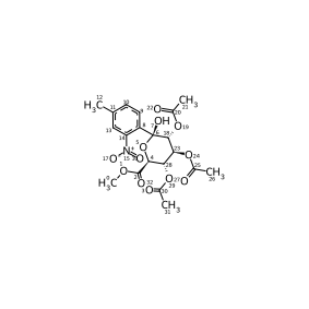 COC(=O)[C@H]1O[C@](O)(c2ccc(C)cc2[N+](=O)[O-])[C@H](OC(C)=O)[C@@H](OC(C)=O)[C@@H]1OC(C)=O